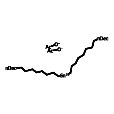 CC(=O)[O-].CC(=O)[O-].CCCCCCCCCCCCCCCCC[CH2][Sn+2][CH2]CCCCCCCCCCCCCCCCC